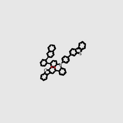 c1ccc(-c2ccc3ccccc3c2)c(-c2ccc(N(c3ccc(-c4ccc5c(c4)sc4ccccc45)cc3)c3ccccc3-c3ccc4oc5ccccc5c4c3)cc2)c1